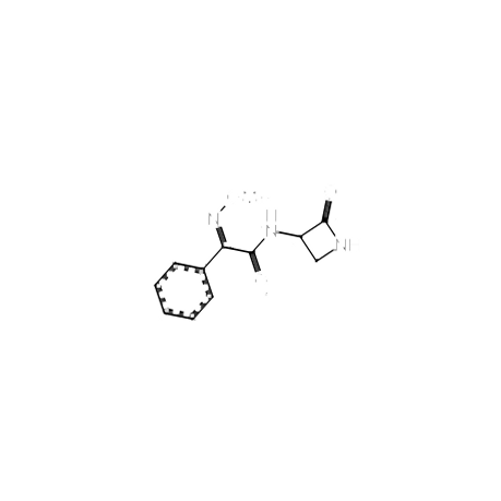 CON=C(C(=O)NC1CNC1=O)c1ccccc1